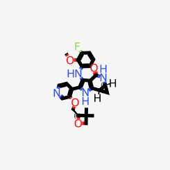 COc1c(F)cccc1Nc1c(-c2ccncc2OC[C@@H]2OCC2(C)C)[nH]c2c1C(=O)N[C@H]1C[C@@H]21